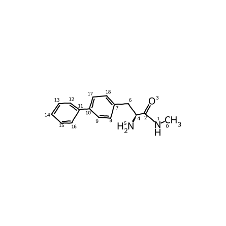 CNC(=O)[C@@H](N)Cc1ccc(-c2ccccc2)cc1